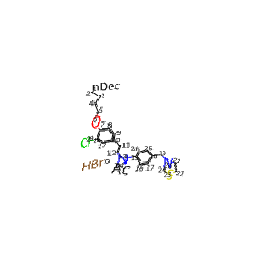 Br.CCCCCCCCCCCCCCOc1ccc(CCN(C(C)=O)c2ccc(CN3C=CSC3)cc2)cc1Cl